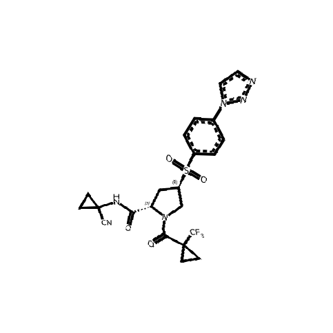 N#CC1(NC(=O)[C@@H]2C[C@@H](S(=O)(=O)c3ccc(-n4ccnn4)cc3)CN2C(=O)C2(C(F)(F)F)CC2)CC1